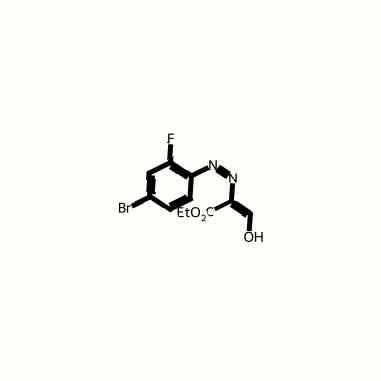 CCOC(=O)C(=C\O)/N=N\c1ccc(Br)cc1F